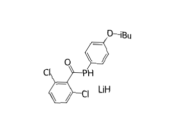 CCC(C)Oc1ccc(PC(=O)c2c(Cl)cccc2Cl)cc1.[LiH]